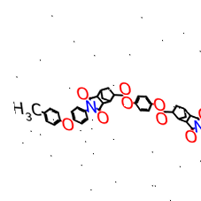 Cc1ccc(Oc2ccc(N3C(=O)C4C5CC(C(=O)Oc6ccc(OC(=O)C7CC8CC7C7C(=O)N(C)C(=O)C87)cc6)C(C5)C4C3=O)cc2)cc1